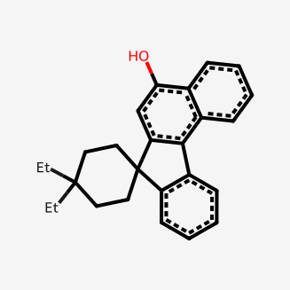 CCC1(CC)CCC2(CC1)c1ccccc1-c1c2cc(O)c2ccccc12